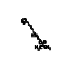 C=C(C)C(=O)OCCCNCCCCCCCC1CCSS1